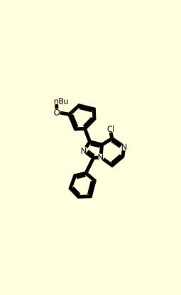 CCCCOc1cccc(-c2nc(-c3ccccc3)n3ccnc(Cl)c23)c1